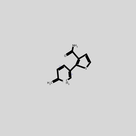 C=C(I)/C=C\C(=C/C)c1sccc1C(N)=O